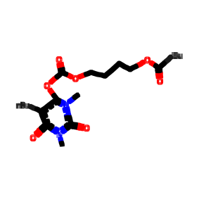 CCCCc1c(OC(=O)OCCCCOC(=O)C(C)CC)n(C)c(=O)n(C)c1=O